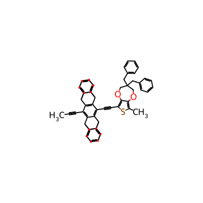 CC#Cc1c2c(c(C#Cc3sc(C)c4c3OCC(Cc3ccccc3)(Cc3ccccc3)CO4)c3c1C1c4ccccc4C3c3ccccc31)C1c3ccccc3C2c2ccccc21